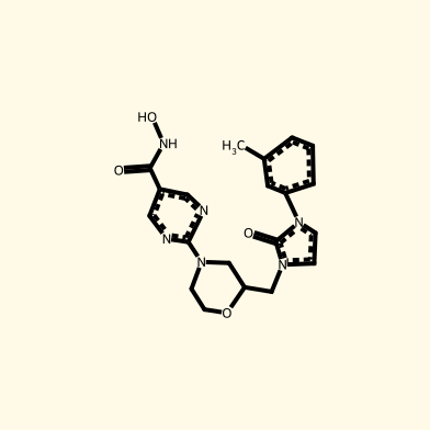 Cc1cccc(-n2ccn(CC3CN(c4ncc(C(=O)NO)cn4)CCO3)c2=O)c1